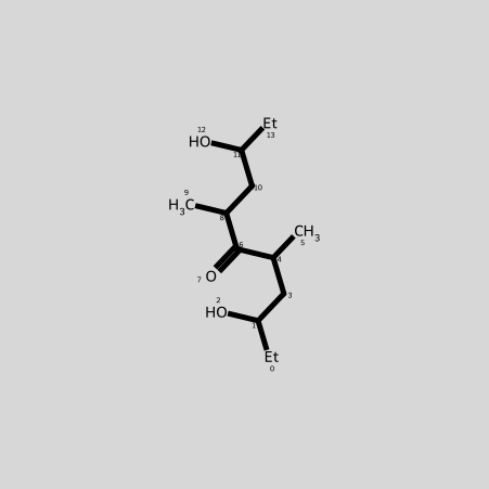 CCC(O)CC(C)C(=O)C(C)CC(O)CC